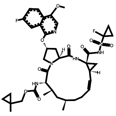 COc1cnc(O[C@@H]2C[C@H]3C(=O)N[C@]4(C(=O)NS(=O)(=O)C5(F)CC5)C[C@H]4/C=C\CC[C@@H](C)C[C@@H](C)[C@H](NC(=O)OCC4(C)CC4)C(=O)N3C2)c2cc(F)ccc12